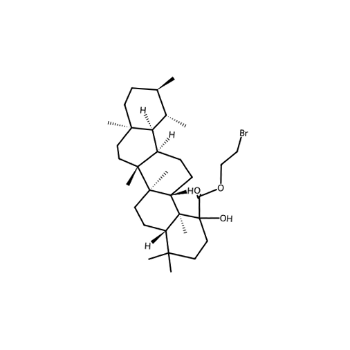 C[C@@H]1[C@H]2[C@H]3CC[C@@H]4[C@]5(C)[C@@H](CC[C@@]4(C)[C@]3(C)CC[C@@]2(C)CC[C@H]1C)C(C)(C)CCC5(O)C(=O)OCCBr